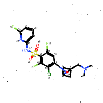 CN(C)CC12CC(C1)N(c1cc(F)c(S(=O)(=O)Nc3cccc(F)n3)c(F)c1Cl)C2